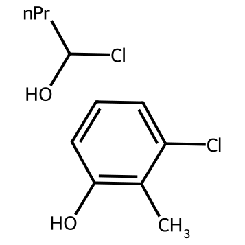 CCCC(O)Cl.Cc1c(O)cccc1Cl